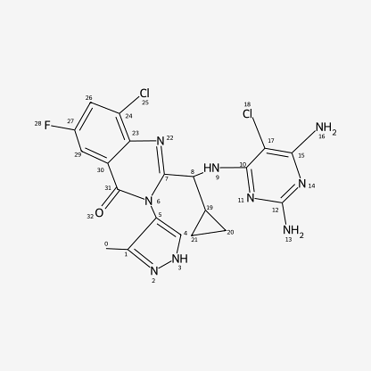 Cc1n[nH]cc1-n1c(C(Nc2nc(N)nc(N)c2Cl)C2CC2)nc2c(Cl)cc(F)cc2c1=O